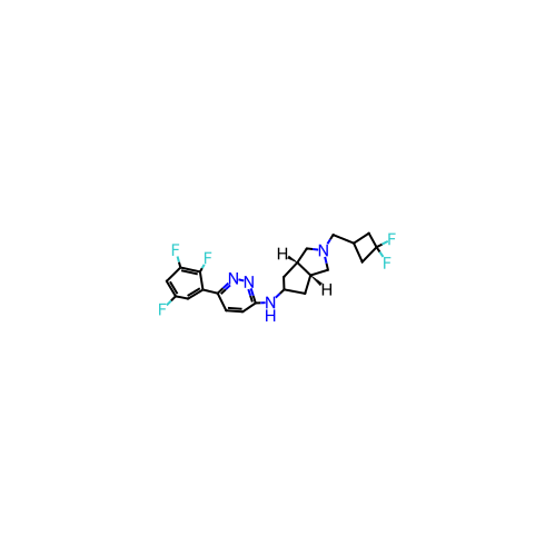 Fc1cc(F)c(F)c(-c2ccc(NC3C[C@@H]4CN(CC5CC(F)(F)C5)C[C@@H]4C3)nn2)c1